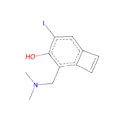 CN(C)Cc1c(O)c(I)cc2c1C=C2